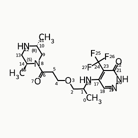 CC(COCCC(=O)N1C[C@@H](C)NC[C@@H]1C)Nc1cn[nH]c(=O)c1C(F)(F)F